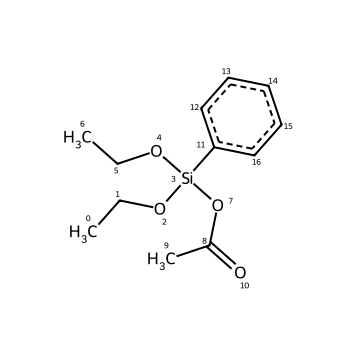 CCO[Si](OCC)(OC(C)=O)c1ccccc1